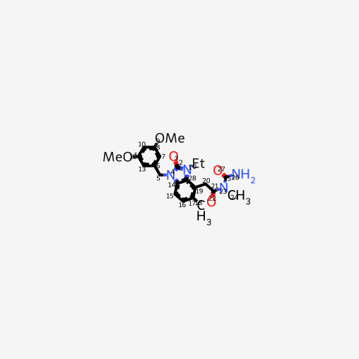 CCn1c(=O)n(Cc2cc(OC)cc(OC)c2)c2ccc(C)c(CC(=O)N(C)C(N)=O)c21